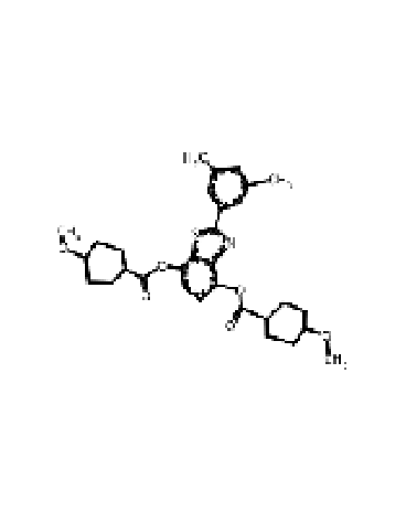 COC1CCC(C(=O)Oc2ccc(OC(=O)C3CCC(OC)CC3)c3sc(-c4cc(C)cc(C)c4)nc23)CC1